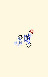 NCc1ncccc1-c1nc(N2CCCCCC2)nc(N2CCOCC2)n1